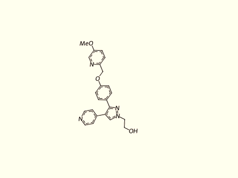 COc1ccc(COc2ccc(-c3nn(CCO)cc3-c3ccncc3)cc2)nc1